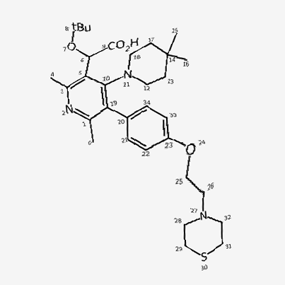 Cc1nc(C)c(C(OC(C)(C)C)C(=O)O)c(N2CCC(C)(C)CC2)c1-c1ccc(OCCN2CCSCC2)cc1